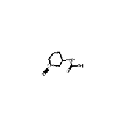 N#C[C@@H]1CCCC(NC(=O)O)C1